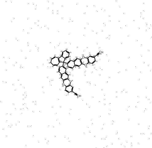 C#Cc1ccc2c(c1)Oc1cc3cc(C4(c5ccc6cc7c(cc6c5)Oc5cc(C#C)ccc5O7)C5=C(C=CCC=C5)c5ccccc54)ccc3cc1O2